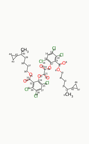 CC(CCCCOC(=O)c1c(Cl)c(Cl)cc(Cl)c1OC(=O)C(=O)Oc1c(Cl)cc(Cl)c(Cl)c1C(=O)OCCCCC(C)C1CC1)C1CC1